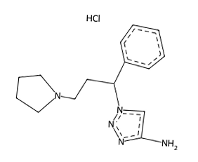 Cl.Nc1cn(C(CCN2CCCC2)c2ccccc2)nn1